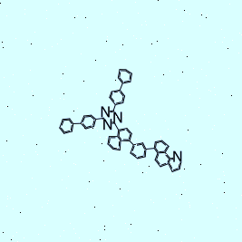 c1ccc(-c2ccc(-c3nc(-c4ccc(-c5ccccc5)cc4)nc(-c4ccc(-c5cccc(-c6cccc7c6ccc6cccnc67)c5)c5ccccc45)n3)cc2)cc1